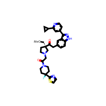 COC[C@@]1(C(=O)Cc2ccc3[nH]nc(-c4ccnc(C5CC5)c4)c3c2)CCN(CC(=O)N2CCC(F)(c3nccs3)CC2)C1